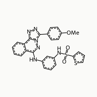 COc1ccc(-c2nnc3c4ccccc4c(Nc4cccc(NS(=O)(=O)c5cccs5)c4)nn23)cc1